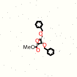 COC(=O)[C@H]1O[C@H](COCc2ccccc2)[C@@H]1OCc1ccccc1